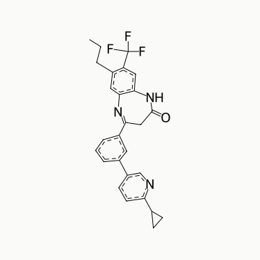 CCCc1cc2c(cc1C(F)(F)F)NC(=O)CC(c1cccc(-c3ccc(C4CC4)nc3)c1)=N2